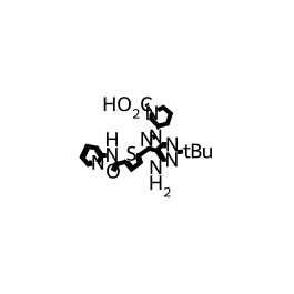 CC(C)(C)c1nc(N)c2c(-c3ccc(C(=O)Nc4ccccn4)s3)nn([C@@H]3CCCN(C(=O)O)C3)c2n1